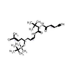 C#C/C=C/C(=O)N[C@H](C(=O)N/C=C\C[C@H](C/C=C(\C)Cl)O[Si](C)(C)C(C)(C)C)C(C)(C)C